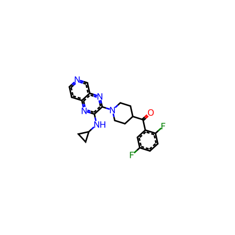 O=C(c1cc(F)ccc1F)C1CCN(c2nc3cnccc3nc2NC2CC2)CC1